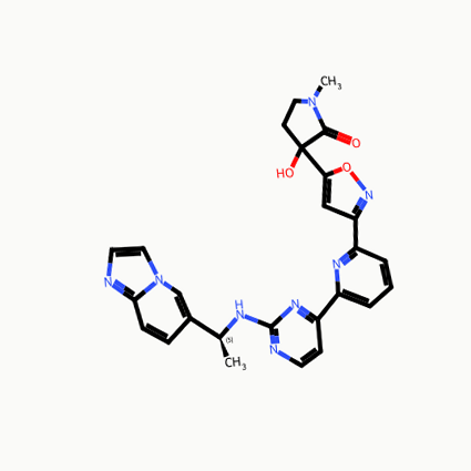 C[C@H](Nc1nccc(-c2cccc(-c3cc(C4(O)CCN(C)C4=O)on3)n2)n1)c1ccc2nccn2c1